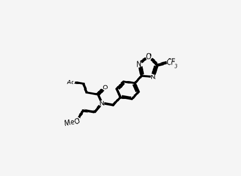 COCCN(Cc1ccc(-c2noc(C(F)(F)F)n2)cc1)C(=O)CCC(C)=O